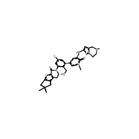 CN1CCn2nc(Nc3cc(-c4cc(F)cc(N5CCc6c(sc7c6CC(C)(C)C7)C5=O)c4CO)cn(C)c3=O)cc2C1